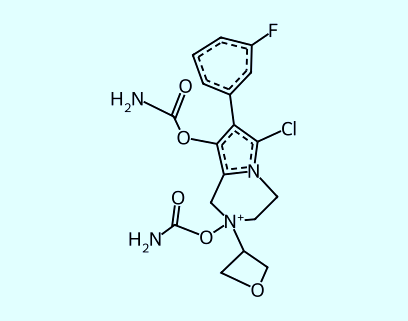 NC(=O)Oc1c(-c2cccc(F)c2)c(Cl)n2c1C[N+](OC(N)=O)(C1COC1)CC2